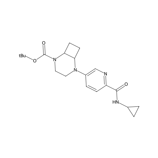 CC(C)(C)OC(=O)N1CCN(c2ccc(C(=O)NC3CC3)nc2)C2CCC21